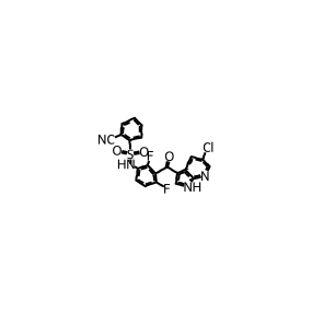 N#Cc1ccccc1S(=O)(=O)Nc1ccc(F)c(C(=O)c2c[nH]c3ncc(Cl)cc23)c1F